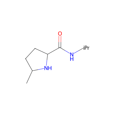 CC(C)NC(=O)C1CCC(C)N1